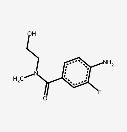 CN(CCO)C(=O)c1ccc(N)c(F)c1